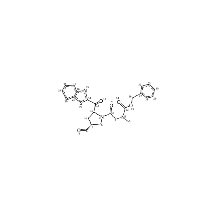 CN(CC(=O)N1C[C@@H](C=O)C[C@H]1C(=O)c1nc2ccccc2s1)C(=O)OCc1ccccc1